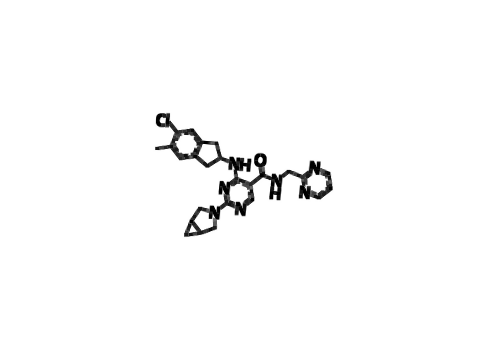 Cc1cc2c(cc1Cl)CC(Nc1nc(N3CC4CC4C3)ncc1C(=O)NCc1ncccn1)C2